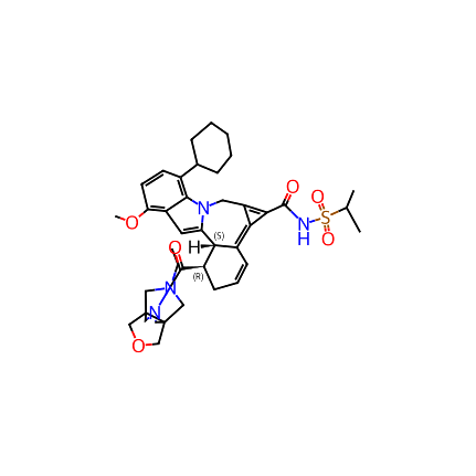 CCN1CC23COCC2(C1)CN(C(=O)[C@@H]1CC=CC2=C4C(=C4C(=O)NS(=O)(=O)C(C)C)Cn4c(cc5c(OC)ccc(C6CCCCC6)c54)[C@H]21)C3